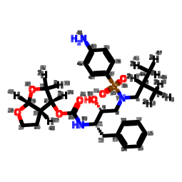 [2H]C([2H])([2H])C([2H])(CN(C[C@@H](O)[C@H](Cc1ccccc1)NC(=O)O[C@]1([2H])[C@@H]2CCO[C@@H]2OC1([2H])[2H])S(=O)(=O)c1ccc(N)cc1)C([2H])([2H])[2H]